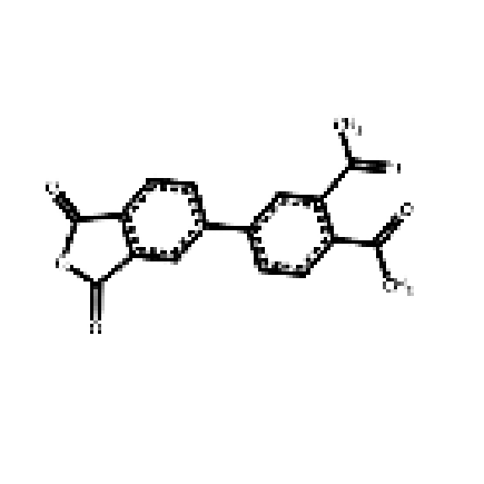 CC(=O)c1ccc(-c2ccc3c(c2)C(=O)OC3=O)cc1C(C)=O